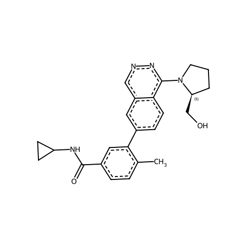 Cc1ccc(C(=O)NC2CC2)cc1-c1ccc2c(N3CCC[C@H]3CO)nncc2c1